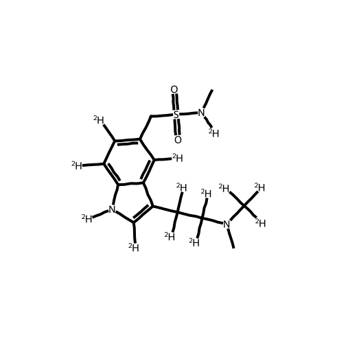 [2H]c1c(CS(=O)(=O)N([2H])C)c([2H])c2c(C([2H])([2H])C([2H])([2H])N(C)C([2H])([2H])[2H])c([2H])n([2H])c2c1[2H]